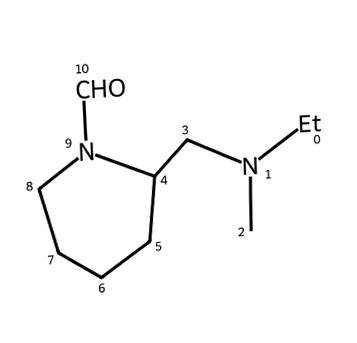 CCN(C)CC1CCCCN1C=O